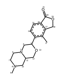 Cc1c(C2CN3CCN(C)CC3CO2)ccc2c1COC2=O